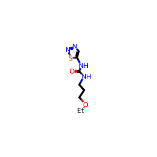 CCOCCCNC(=O)Nc1cnns1